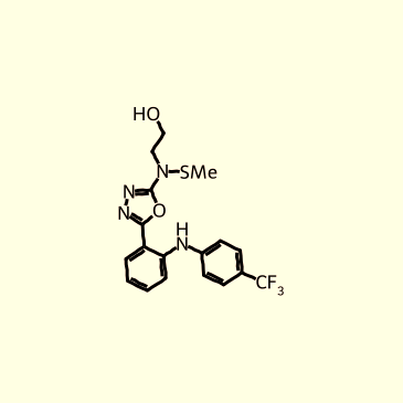 CSN(CCO)c1nnc(-c2ccccc2Nc2ccc(C(F)(F)F)cc2)o1